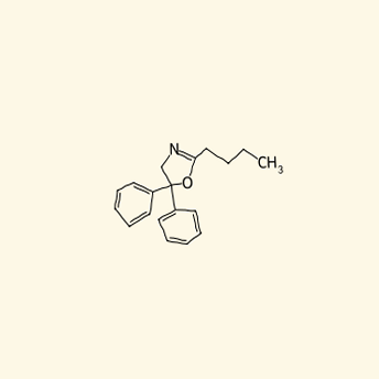 CCCCC1=NCC(c2ccccc2)(c2ccccc2)O1